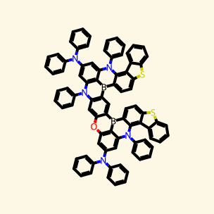 c1ccc(N(c2ccccc2)c2cc3c4c(c2)N(c2ccccc2)c2c(ccc5sc6ccccc6c25)B4c2cc4c(cc2O3)N(c2ccccc2)c2cc(N(c3ccccc3)c3ccccc3)cc3c2B4c2ccc4sc5ccccc5c4c2N3c2ccccc2)cc1